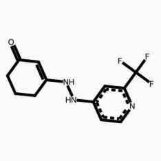 O=C1C=C(NNc2ccnc(C(F)(F)F)c2)CCC1